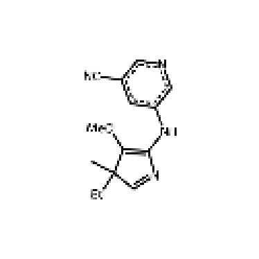 CCC1(C)C=NC(Nc2cncc(C#N)c2)=C1OC